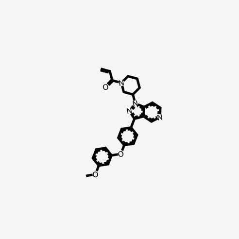 C=CC(=O)N1CCCC(n2nc(-c3ccc(Oc4cccc(OC)c4)cc3)c3cnccc32)C1